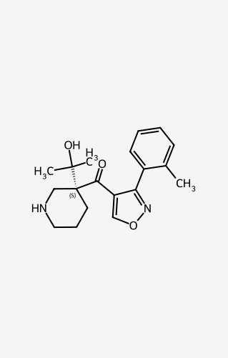 Cc1ccccc1-c1nocc1C(=O)[C@@]1(C(C)(C)O)CCCNC1